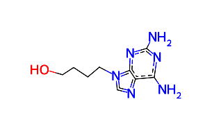 Nc1nc(N)c2ncn(CCCCO)c2n1